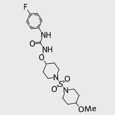 COC1CCN(S(=O)(=O)N2CCC(ONC(=O)Nc3ccc(F)cc3)CC2)CC1